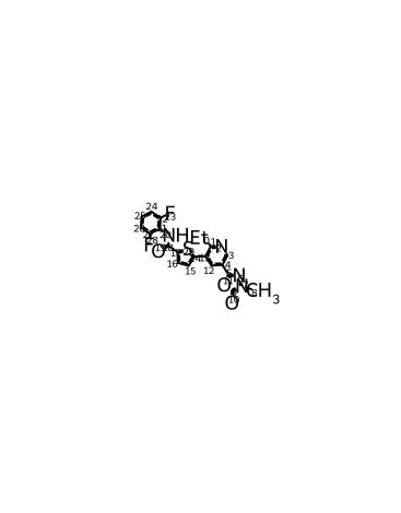 CCc1ncc(-c2nn(C)c(=O)o2)cc1-c1ccc(C(=O)Nc2c(F)cccc2F)s1